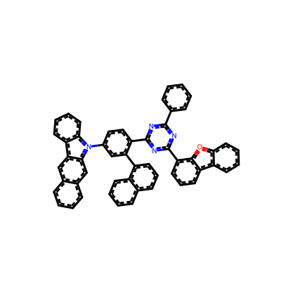 c1ccc(-c2nc(-c3ccc(-n4c5ccccc5c5cc6ccccc6cc54)cc3-c3cccc4ccccc34)nc(-c3cccc4c3oc3ccccc34)n2)cc1